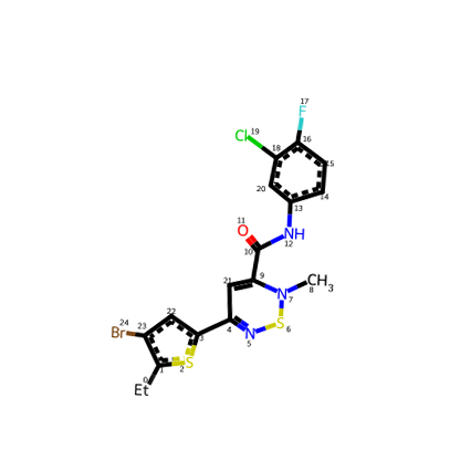 CCc1sc(C2=NSN(C)C(C(=O)Nc3ccc(F)c(Cl)c3)=C2)cc1Br